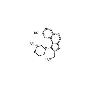 C[C@@H]1C[C@H](n2c(CN)nc3cnc4ccc(C#N)cc4c32)CCO1